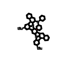 CC(C)(C)c1ccc2c(c1)c1c3ccccc3cc3c4cc5c(cc4n2c31)c1cc(C(C)(C)C)cc2c3c4ccccc4cc(N(c4ccccc4)c4ccccc4)c3n5c12